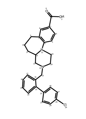 O=C(O)c1ccc2c(c1)CCCC1CN(Cc3ccccc3-c3ccc(Cl)cc3)CCN21